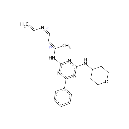 C=C/N=C\C=C(/C)Nc1nc(NC2CCOCC2)nc(-c2ccccc2)n1